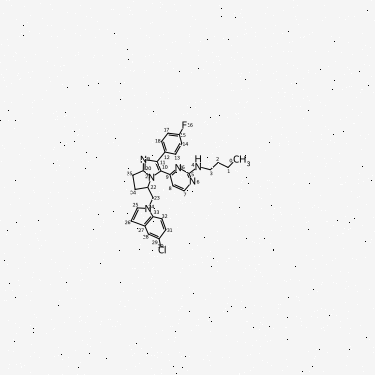 CCCCNc1nccc(-c2c(-c3ccc(F)cc3)nc3n2C(Cn2ccc4cc(Cl)ccc42)CC3)n1